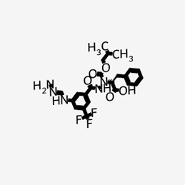 CC(C)COC(=O)N(NC(=O)c1cc(NC=NN)cc(C(F)(F)F)c1)[C@@H](Cc1ccccc1)C(=O)O